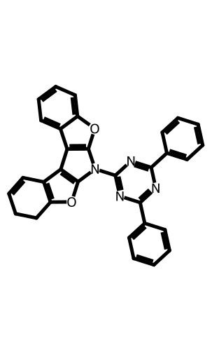 C1=Cc2c(oc3c2c2c4ccccc4oc2n3-c2nc(-c3ccccc3)nc(-c3ccccc3)n2)CC1